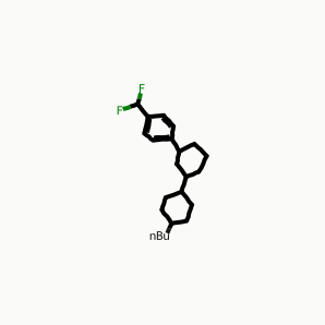 CCCCC1CCC(C2CCCC(c3ccc(C(F)F)cc3)C2)CC1